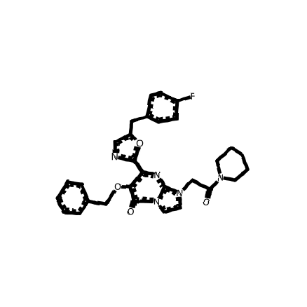 O=C(Cn1ccn2c(=O)c(OCc3ccccc3)c(-c3ncc(Cc4ccc(F)cc4)o3)nc12)N1CCCCC1